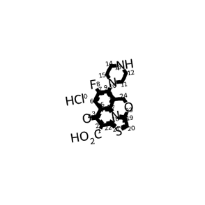 Cl.O=C(O)c1c(=O)c2cc(F)c(N3CCNCC3)c3c2n2c(csc12)OC3